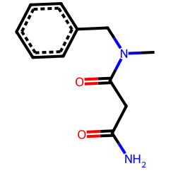 CN(Cc1ccccc1)C(=O)CC(N)=O